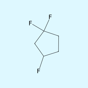 FC1CCC(F)(F)C1